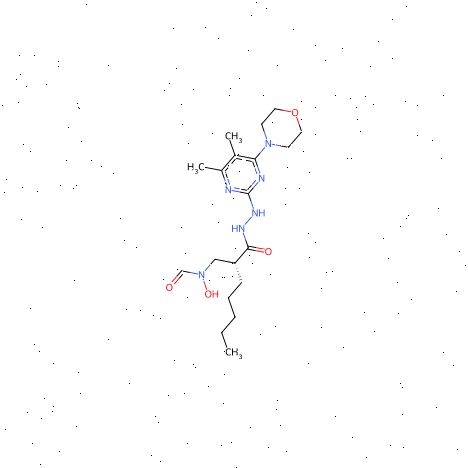 CCCCC[C@H](CN(O)C=O)C(=O)NNc1nc(C)c(C)c(N2CCOCC2)n1